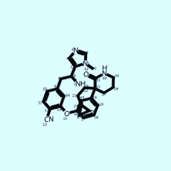 Cn1cncc1C(N)Cc1ccc(C#N)c(Oc2cccc(C3(CCC4CC4)CCCNC3=O)c2)c1